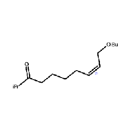 CC(C)COC/C=C\CCCCC(=O)C(C)C